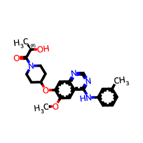 COc1cc2c(Nc3cccc(C)c3)ncnc2cc1OC1CCN(C(=O)[C@@H](C)O)CC1